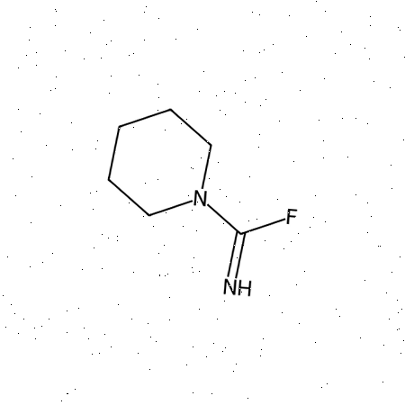 N=C(F)N1CCCCC1